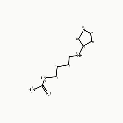 N=C(N)NCCCCNC1CC[N]C1